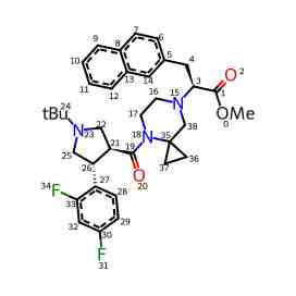 COC(=O)[C@H](Cc1ccc2ccccc2c1)N1CCN(C(=O)[C@@H]2CN(C(C)(C)C)C[C@H]2c2ccc(F)cc2F)C2(CC2)C1